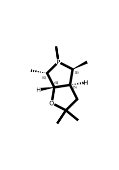 C[C@H]1[C@H]2CC(C)(C)O[C@@H]2[C@H](C)P1C